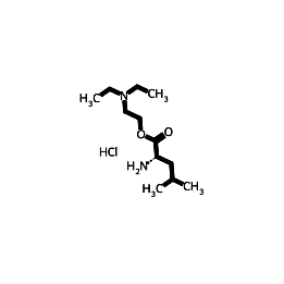 CCN(CC)CCOC(=O)[C@@H](N)CC(C)C.Cl